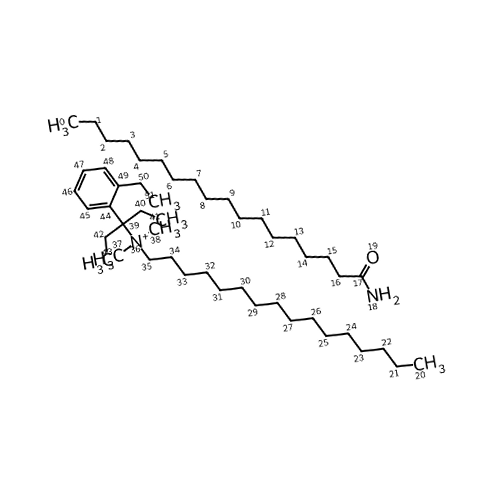 CCCCCCCCCCCCCCCCCC(N)=O.CCCCCCCCCCCCCCCC[N+](C)(C)C(CC)(CC)c1ccccc1CC